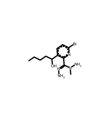 CCCCC(O)c1ccc(Br)nc1/C(=N/N)N(C)N